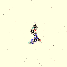 C[C@]1(c2ccc(C#N)cc2F)Oc2cccc(C3CCN(Cc4nc5cc(-c6nnc(C(F)(F)F)[nH]6)ncc5n4C[C@@H]4CCO4)CC3)c2O1